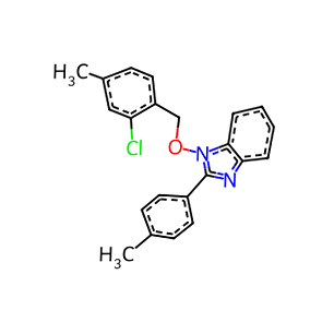 Cc1ccc(-c2nc3ccccc3n2OCc2ccc(C)cc2Cl)cc1